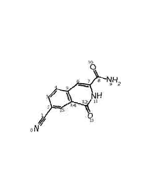 N#Cc1[c]cc2cc(C(N)=O)[nH]c(=O)c2c1